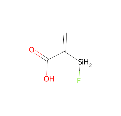 C=C([SiH2]F)C(=O)O